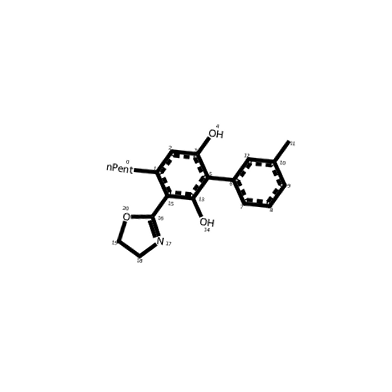 CCCCCc1cc(O)c(-c2cccc(C)c2)c(O)c1C1=NCCO1